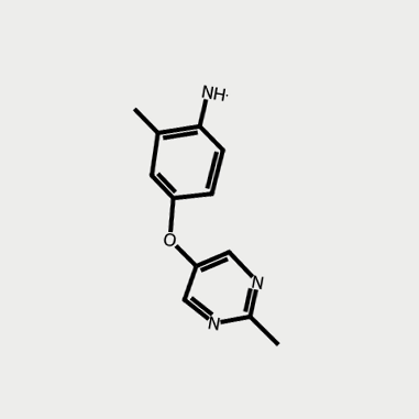 Cc1ncc(Oc2ccc([NH])c(C)c2)cn1